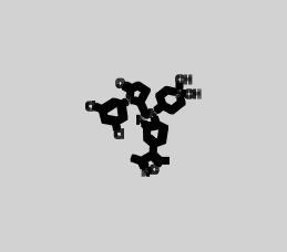 Cc1noc(C)c1-c1ccc2c(c1)nc(C1CCC(=O)N1c1cc(Cl)cc(Cl)c1)n2C1CCS(O)(O)CC1